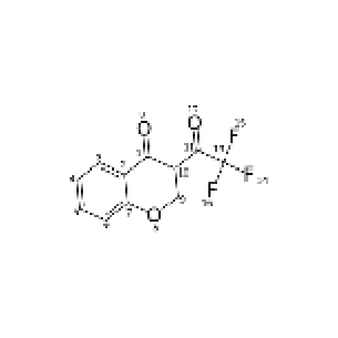 O=C1c2ccccc2OCC1C(=O)C(F)(F)F